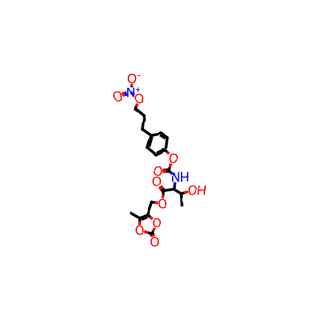 Cc1oc(=O)oc1COC(=O)C(NC(=O)Oc1ccc(CCCO[N+](=O)[O-])cc1)C(C)O